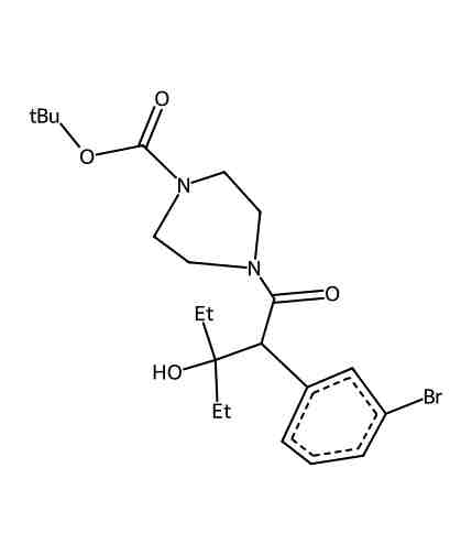 CCC(O)(CC)C(C(=O)N1CCN(C(=O)OC(C)(C)C)CC1)c1cccc(Br)c1